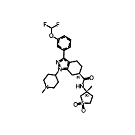 CN1CCC(n2nc(-c3cccc(OC(F)F)c3)c3c2C[C@H](C(=O)N[C@]2(C)CCS(=O)(=O)C2)CC3)CC1